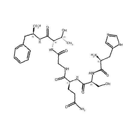 C[C@@H](O)[C@H](NC(=O)CNC(=O)[C@H](CCC(N)=O)NC(=O)[C@H](CO)NC(=O)[C@@H](N)Cc1cnc[nH]1)C(=O)N[C@@H](Cc1ccccc1)C(=O)O